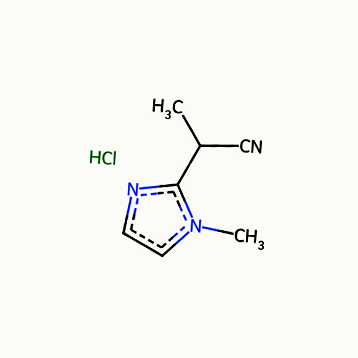 CC(C#N)c1nccn1C.Cl